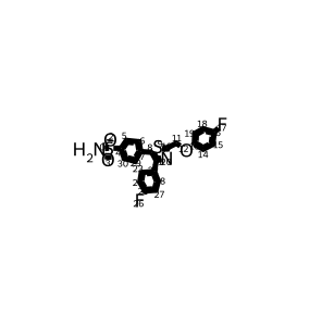 NS(=O)(=O)c1ccc(-c2sc(COc3ccc(F)cc3)nc2-c2ccc(F)cc2)cc1